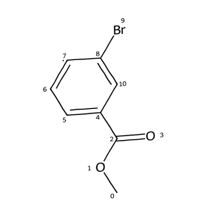 COC(=O)c1cc[c]c(Br)c1